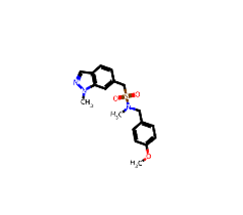 COc1ccc(CN(C)S(=O)(=O)Cc2ccc3cnn(C)c3c2)cc1